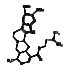 COc1cc2[nH]c3c(c2cc1OC)CCN1CC2C(C)OC=C(C(=O)OCCN(C)C)C2CC31